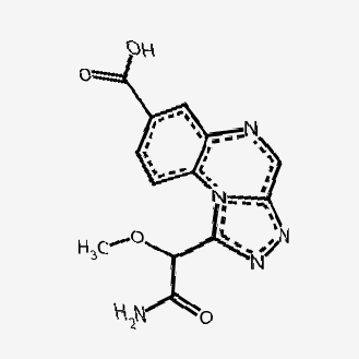 COC(C(N)=O)c1nnc2cnc3cc(C(=O)O)ccc3n12